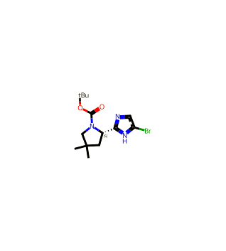 CC1(C)C[C@@H](c2ncc(Br)[nH]2)N(C(=O)OC(C)(C)C)C1